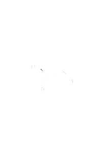 O[C@H](P)CP